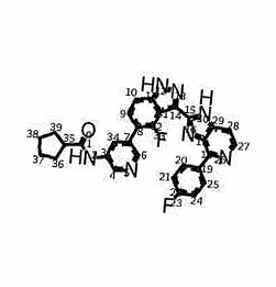 O=C(Nc1cncc(-c2ccc3[nH]nc(-c4nc5c(-c6ccc(F)cc6)nccc5[nH]4)c3c2F)c1)C1CCCC1